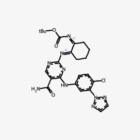 CC(C)(C)OC(=O)/N=C1/CCCC/C1=N\c1ncc(C(N)=O)c(Nc2ccc(Cl)c(-n3nccn3)c2)n1